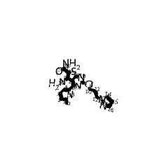 Cc1cccc(-c2nc(OCCCn3cccn3)nc3sc(C(N)=O)c(N)c23)n1